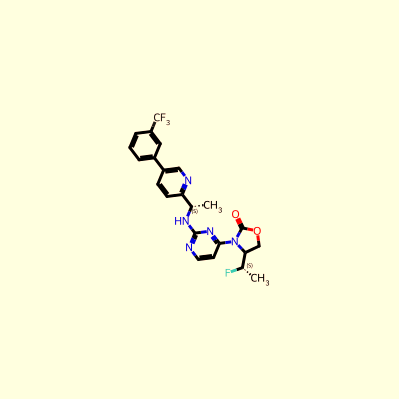 C[C@H](Nc1nccc(N2C(=O)OCC2[C@H](C)F)n1)c1ccc(-c2cccc(C(F)(F)F)c2)cn1